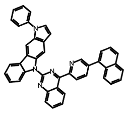 c1ccc(-n2ccc3cc4c(cc32)c2ccccc2n4-c2nc(-c3ccc(-c4cccc5ccccc45)cn3)c3ccccc3n2)cc1